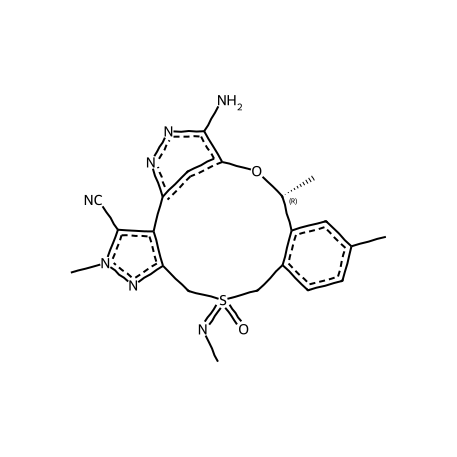 CN=S1(=O)Cc2ccc(C)cc2[C@@H](C)Oc2cc(nnc2N)-c2c(nn(C)c2C#N)C1